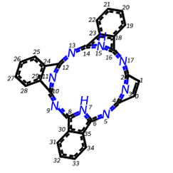 C1=Cc2nc1nc1[nH]c(nc3nc(nc4[nH]c(n2)c2ccccc42)-c2ccccc2-3)c2ccccc12